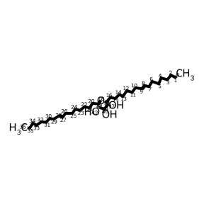 CCCCCCCCC=CCCCCCCCCOCCCCCCCCC=CCCCCCCCC.OCC(O)CO